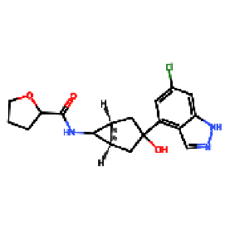 O=C(NC1[C@H]2CC(O)(c3cc(Cl)cc4[nH]ncc34)C[C@@H]12)C1CCCO1